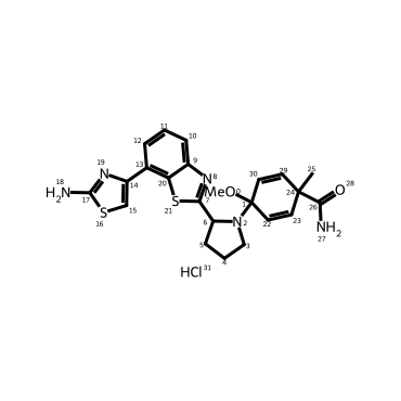 COC1(N2CCCC2c2nc3cccc(-c4csc(N)n4)c3s2)C=CC(C)(C(N)=O)C=C1.Cl